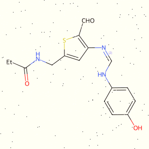 CCC(=O)NCc1cc(/N=C\Nc2ccc(O)cc2)c(C=O)s1